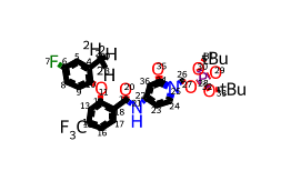 [2H]C([2H])([2H])c1cc(F)ccc1Oc1cc(C(F)(F)F)ccc1C(=O)Nc1ccn(COP(=O)(OC(C)(C)C)OC(C)(C)C)c(=O)c1